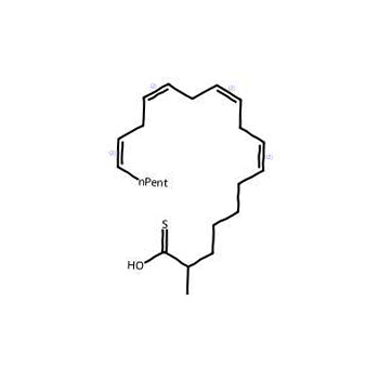 CCCCC/C=C\C/C=C\C/C=C\C/C=C\CCCCC(C)C(O)=S